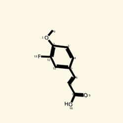 COc1ccc(C=CC(=O)O)cc1F